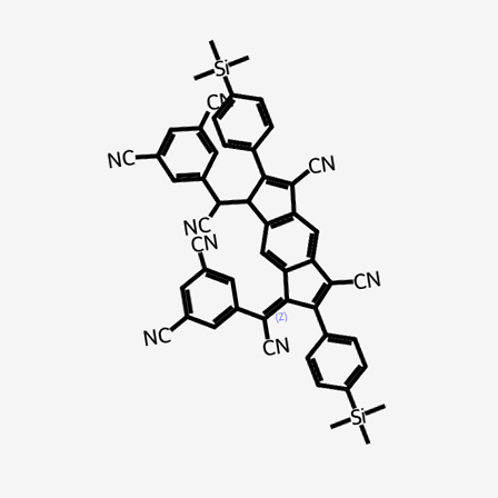 C[Si](C)(C)c1ccc(C2=C(C#N)c3cc4c(cc3/C2=C(/C#N)c2cc(C#N)cc(C#N)c2)C(C(C#N)c2cc(C#N)cc(C#N)c2)C(c2ccc([Si](C)(C)C)cc2)=C4C#N)cc1